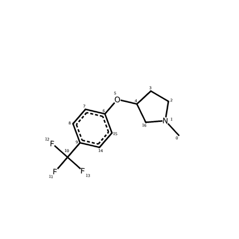 CN1CCC(Oc2ccc(C(F)(F)F)cc2)C1